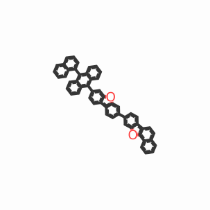 c1ccc2c(-c3c4ccccc4c(-c4ccc5c(c4)oc4cc(-c6ccc7c(c6)oc6c8ccccc8ccc76)ccc45)c4ccccc34)cccc2c1